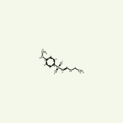 CCSC=NS(=O)(=O)c1ccc(OC)cc1